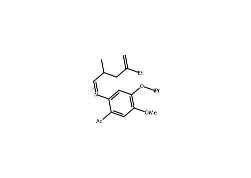 C=C(CC)CC(C)/C=N\c1cc(OC(C)C)c(OC)cc1C(C)=O